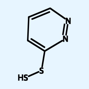 SSc1cccnn1